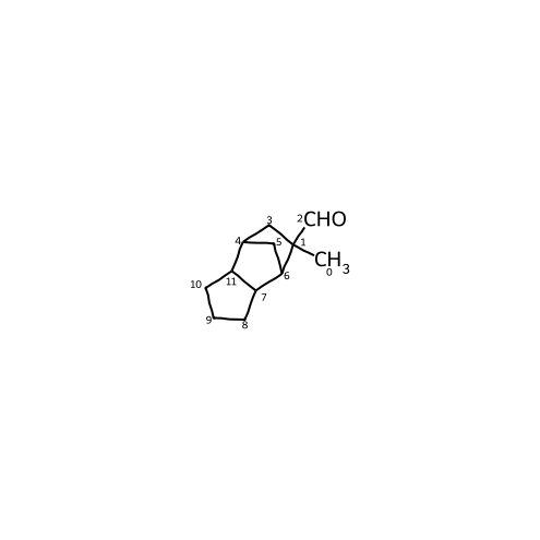 CC1(C=O)CC2CC1C1CCCC21